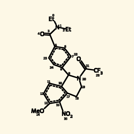 CCN(CC)C(=O)c1ccc(C2c3ccc(OC)c([N+](=O)[O-])c3CCN2C(=O)C(F)(F)F)cc1